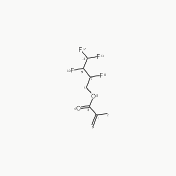 C=C(C)C(=O)OCC(F)C(F)C(F)F